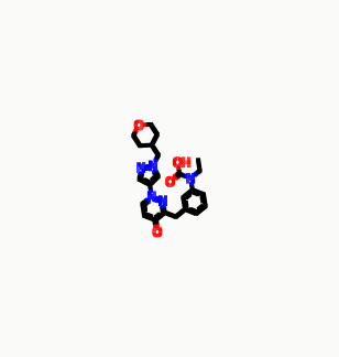 CCN(C(=O)O)c1cccc(Cc2nn(-c3cnn(CC4CCOCC4)c3)ccc2=O)c1